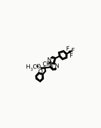 COC(=O)[C@](C)(Cc1ccccc1)c1ccnc2c(-c3ccc(C(F)(F)F)cc3)cnn12